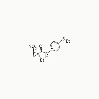 CCSc1ccc(NC(=O)C2(CC)CC2[N+](=O)[O-])cc1